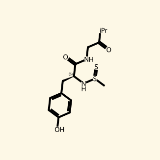 CC(C)C(=O)CNC(=O)[C@H](Cc1ccc(O)cc1)NS(C)=S